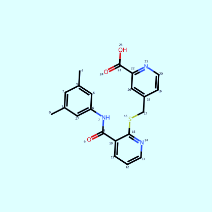 Cc1cc(C)cc(NC(=O)c2cccnc2SCc2ccnc(C(=O)O)c2)c1